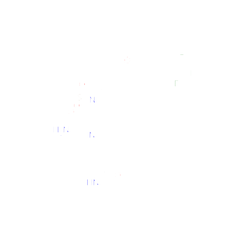 CNC(=O)C1CCN([C@@H](CN(c2ccc(Oc3ccc(C(F)(F)F)cc3)cc2)S(C)(=O)=O)C(N)=O)CC1